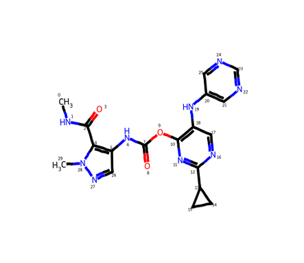 CNC(=O)c1c(NC(=O)Oc2nc(C3CC3)ncc2Nc2cncnc2)cnn1C